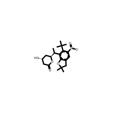 CC(c1c2c(cc([N+](=O)[O-])c1C(C)(C)C)CC(C)(C)O2)[C@@H]1C[C@@H](O)CC(=O)O1